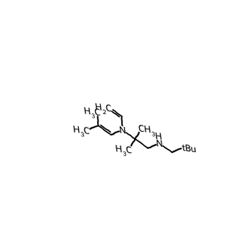 C=CN(C=C(C)C)C(C)(C)CNCC(C)(C)C